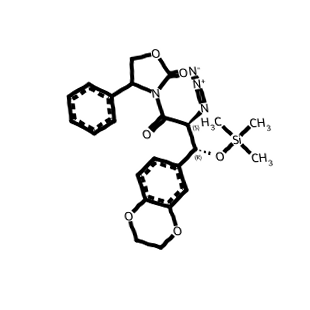 C[Si](C)(C)O[C@H](c1ccc2c(c1)OCCO2)[C@H](N=[N+]=[N-])C(=O)N1C(=O)OCC1c1ccccc1